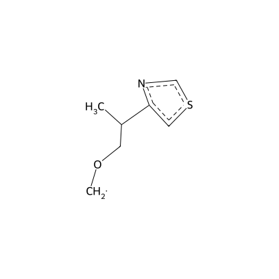 [CH2]OCC(C)c1cscn1